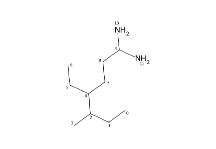 CCC(C)C(CC)CCC(N)N